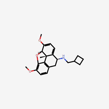 COC1=CC=C2[C@@H](NCC3CCC3)Cc3ccc(OC)c4c3[C@]2(C)[C@@H]1O4